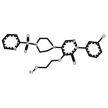 CCOCCOc1c(N2CCN(S(=O)(=O)c3ccccn3)CC2)cnn(-c2cccc(Cl)c2)c1=O